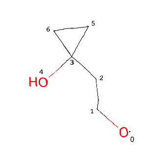 [O]CCC1(O)CC1